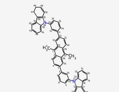 Cc1c2ccc(-c3cccc(-n4c5ccccc5c5ccccc54)c3)cc2c(C)c2ccc(-c3cccc(-n4c5c(c6ccccc64)CCC=C5)c3)cc12